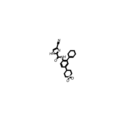 N#Cc1c[nH]c(C(=O)Nc2ccc(C3CCS(=O)(=O)CC3)cc2C2=CCCCC2)n1